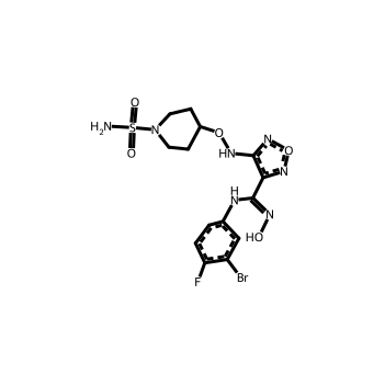 NS(=O)(=O)N1CCC(ONc2nonc2/C(=N/O)Nc2ccc(F)c(Br)c2)CC1